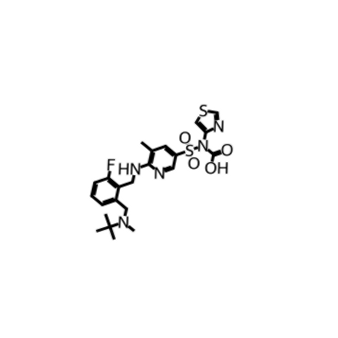 Cc1cc(S(=O)(=O)N(C(=O)O)c2cscn2)cnc1NCc1c(F)cccc1CN(C)C(C)(C)C